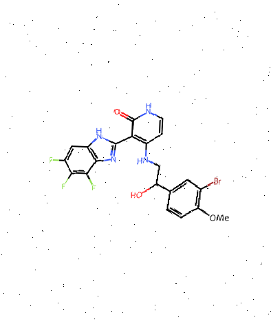 COc1ccc(C(O)CNc2cc[nH]c(=O)c2-c2nc3c(F)c(F)c(F)cc3[nH]2)cc1Br